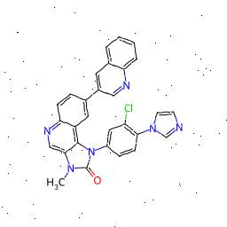 Cn1c(=O)n(-c2ccc(-n3ccnc3)c(Cl)c2)c2c3cc(-c4cnc5ccccc5c4)ccc3ncc21